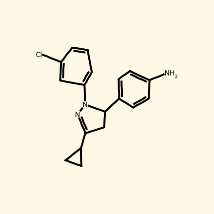 Nc1ccc(C2CC(C3CC3)=NN2c2cccc(Cl)c2)cc1